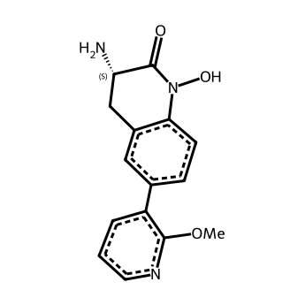 COc1ncccc1-c1ccc2c(c1)C[C@H](N)C(=O)N2O